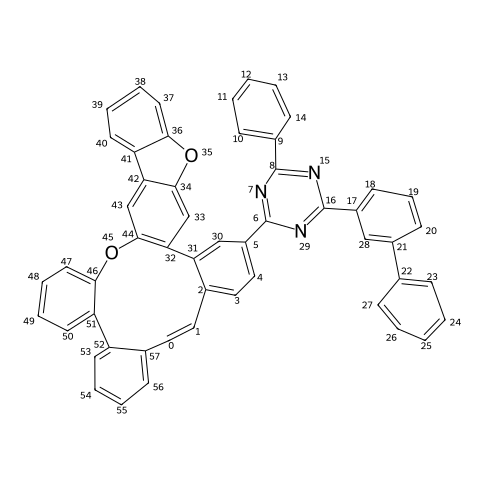 C1=C\c2ccc(-c3nc(-c4ccccc4)nc(-c4cccc(-c5ccccc5)c4)n3)cc2-c2cc3oc4ccccc4c3cc2Oc2ccccc2-c2ccccc2/1